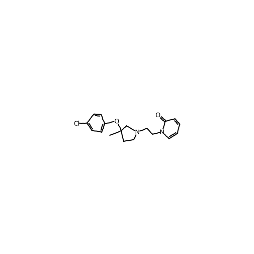 CC1(Oc2ccc(Cl)cc2)CCN(CCn2ccccc2=O)C1